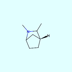 CC1[C@@H]2CCC(C2)N1C